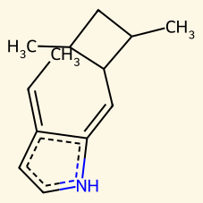 C/C=c1/cc[nH]/c1=C/C1C(C)CC1C